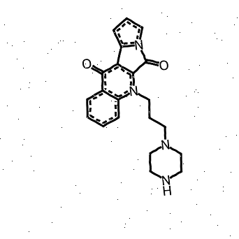 O=C1c2c(c(=O)c3ccccc3n2CCCN2CCNCC2)-c2cccn21